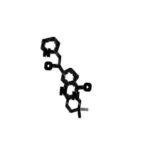 CC1(C)CCc2nc3cc(C(=O)Cc4ccccn4)ccc3c(=O)n2C1